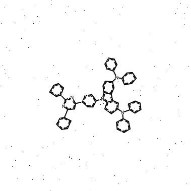 c1ccc(-c2cc(-c3ccc(-n4c5ccc(N(c6ccccc6)c6ccccc6)cc5c5cc(N(c6ccccc6)c6ccccc6)ccc54)cc3)nc(-c3ccccc3)n2)cc1